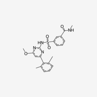 CNC(=O)c1cccc(S(=O)(=O)Nc2nc(OC)cc(-c3c(C)cccc3C)n2)c1